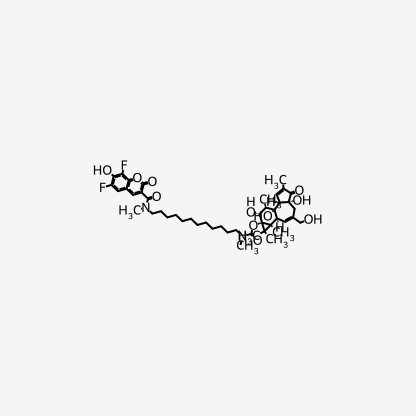 CC1=C[C@H]2[C@@]3(O)[C@H](C)[C@@H](O)[C@@]4(OC(=O)N(C)CCCCCCCCCCCCN(C)C(=O)c5cc6cc(F)c(O)c(F)c6oc5=O)C(C)(C)[C@@]4(C)[C@@H]3C=C(CO)C[C@]2(O)C1=O